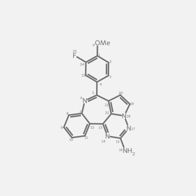 COc1ccc(C2=Nc3ccccc3-c3nc(N)nn4ccc2c34)cc1F